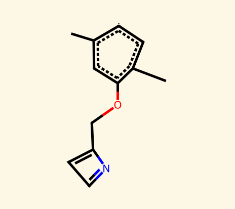 Cc1[c]cc(C)c(OCC2=CC=N2)c1